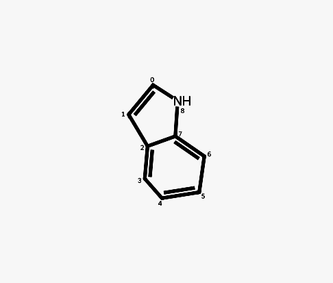 [c]1[c]c2ccccc2[nH]1